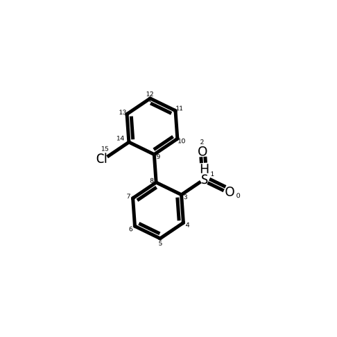 O=[SH](=O)c1ccccc1-c1cc[c]cc1Cl